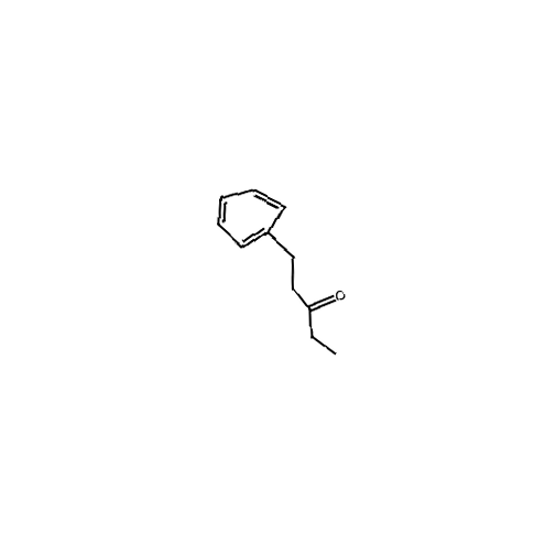 CCC(=O)CCc1ccccc1